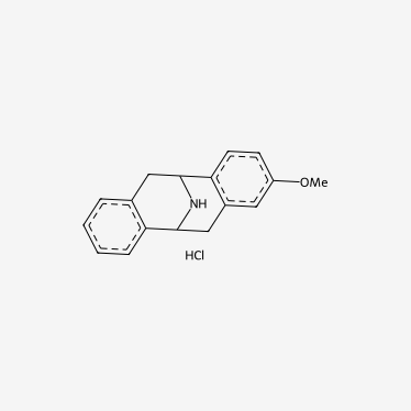 COc1ccc2c(c1)CC1NC2Cc2ccccc21.Cl